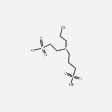 O=S(=O)(O)CCCN(CCO)CCS(=O)(=O)O